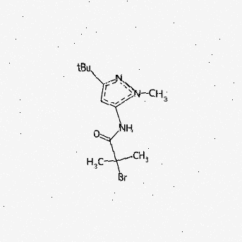 Cn1nc(C(C)(C)C)cc1NC(=O)C(C)(C)Br